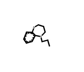 CCCN1CCC[N]c2ccccc21